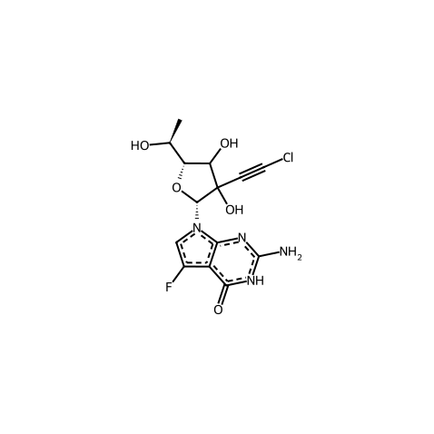 C[C@H](O)[C@H]1O[C@@H](n2cc(F)c3c(=O)[nH]c(N)nc32)C(O)(C#CCl)C1O